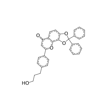 O=c1cc(-c2ccc(CCCO)cc2)oc2c3c(ccc12)OC(c1ccccc1)(c1ccccc1)O3